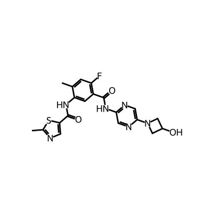 Cc1ncc(C(=O)Nc2cc(C(=O)Nc3cnc(N4CC(O)C4)cn3)c(F)cc2C)s1